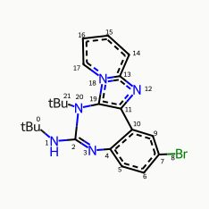 CC(C)(C)NC1=Nc2ccc(Br)cc2-c2nc3ccccn3c2N1C(C)(C)C